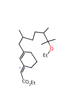 CCOC(=O)/C=C1/C=C(CC(C)CCC(C)C(C)(C)OCC)CCC1